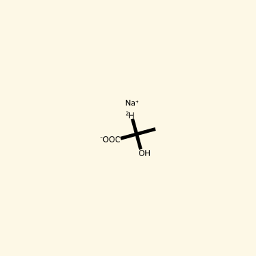 [2H]C(C)(O)C(=O)[O-].[Na+]